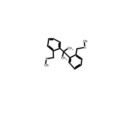 CC(C)(c1ccccc1CSC#N)c1ccccc1CSC#N